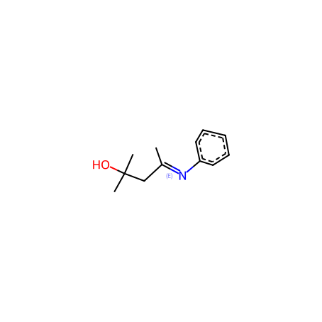 C/C(CC(C)(C)O)=N\c1ccccc1